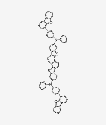 c1ccc(N(c2ccc(-c3cccc4c3oc3ccccc34)cc2)c2ccc3c(c2)sc2c3ccc3c2ccc2c4ccc(N(c5ccccc5)c5ccc(-c6cccc7c6oc6ccccc67)cc5)cc4sc23)cc1